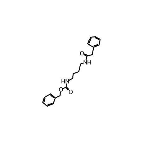 O=C(Cc1ccccc1)NCCCCNC(=O)OCc1ccccc1